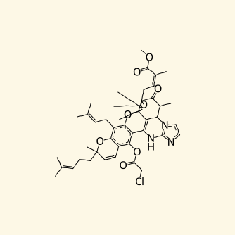 COC(=O)/C(C)=C\CC12OC(C)(C)C(C)C13Oc1c(CC=C(C)C)c4c(c(OC(=O)CCl)c1C1=C3C(C(C)C2=O)n2ccnc2N1)C=CC(C)(CCC=C(C)C)O4